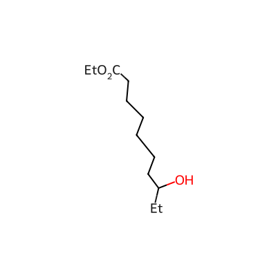 CCOC(=O)CCCCCCC(O)CC